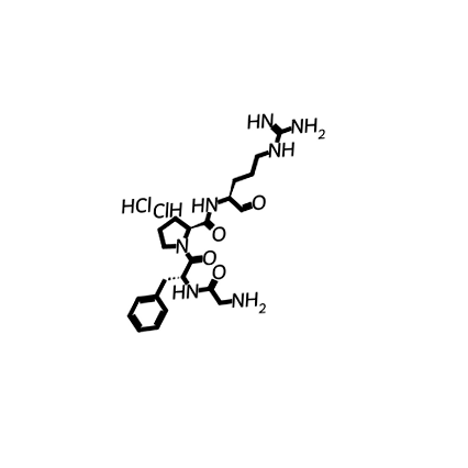 Cl.Cl.N=C(N)NCCC[C@@H](C=O)NC(=O)[C@@H]1CCCN1C(=O)[C@@H](Cc1ccccc1)NC(=O)CN